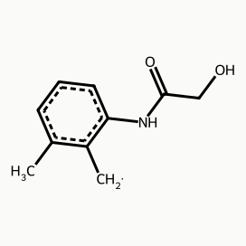 [CH2]c1c(C)cccc1NC(=O)CO